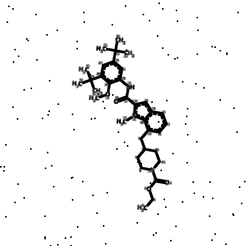 CCOC(=O)N1CCC(Cc2cccc3cc(C(=O)Nc4cc(C(C)(C)C)cc(C(C)(C)C)c4OC)n(C)c23)CC1